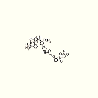 COc1cc(N2CCC(NC(=O)CCCSc3cccc4c3CN(C3CCC(=O)NC3=O)C4=O)CC2)ccc1Nc1ncc(Cl)c(Nc2ccccc2P(C)C)n1